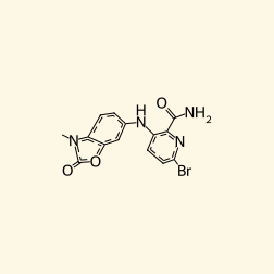 Cn1c(=O)oc2cc(Nc3ccc(Br)nc3C(N)=O)ccc21